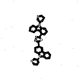 c1cncc(-n2c3ccccc3c3cc(-c4nnc(-c5cccc6c5c5ccccc5n6-c5cccnc5)o4)ccc32)c1